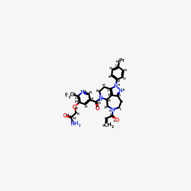 C=CC(=O)N1CCc2nn(-c3ccc(C(C)C)cc3)c3c2C(C1)N(C(=O)c1cnc(C(F)(F)F)c(OCC(N)=O)c1)CC3